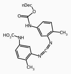 CCCCCCCCCCOC(=O)Nc1ccc(C)c(N=C=Nc2cc(NC(=O)O)ccc2C)c1